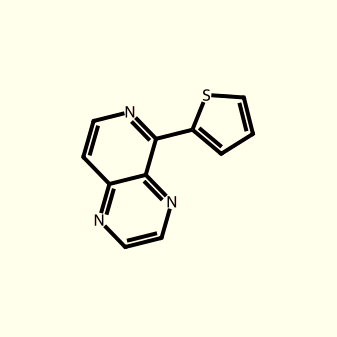 c1csc(-c2nccc3nccnc23)c1